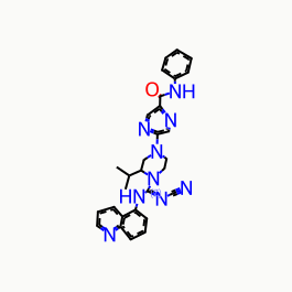 CC(C)C1CN(c2cnc(C(=O)Nc3ccccc3)cn2)CCN1/C(=N\C#N)Nc1cccc2ncccc12